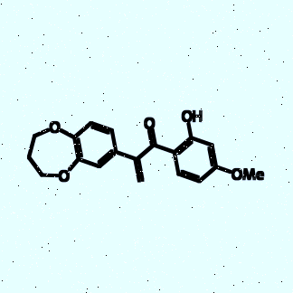 C=C(C(=O)c1ccc(OC)cc1O)c1ccc2c(c1)OCCCO2